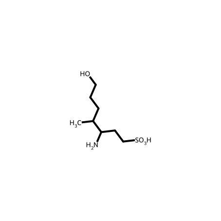 CC(CCCO)C(N)CCS(=O)(=O)O